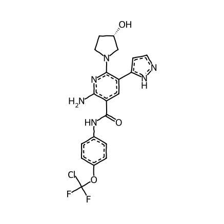 Nc1nc(N2CC[C@H](O)C2)c(-c2ccn[nH]2)cc1C(=O)Nc1ccc(OC(F)(F)Cl)cc1